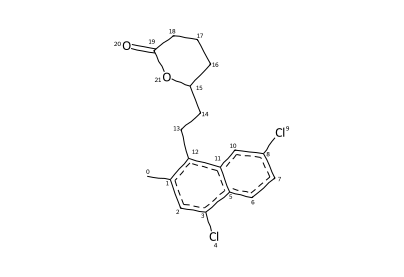 Cc1cc(Cl)c2ccc(Cl)cc2c1CCC1CCCC(=O)O1